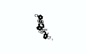 O=C(Cc1cccc(C(F)(F)F)c1F)Nc1c(Cl)ccc2c1CCN(S(=O)(=O)c1cccc(Cl)c1)C2